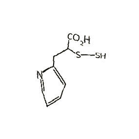 O=C(O)C(Cc1ccccn1)SS